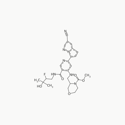 COC(=O)N1CCOCC1CNc1cc(-c2ccc3cc(C#N)cnn23)ncc1C(=O)NCC(F)C(C)(C)O